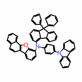 c1ccc(C2(c3ccccc3)c3ccccc3-c3c(N(c4ccc(-n5c6ccccc6c6ccccc65)cc4)c4cccc5c4oc4c6ccccc6ccc54)cccc32)cc1